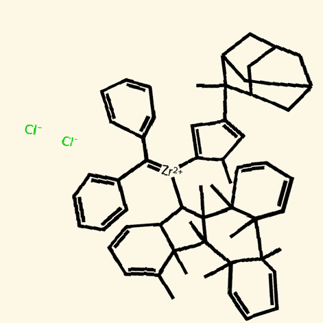 CC1=CC=CC2[CH]([Zr+2]([C]3=CC(C4(C)C5CC6CC(C5)CC4C6)=CC3C)=[C](c3ccccc3)c3ccccc3)C3(C)C4(C)C=CC=CC4(C)C4(C)C=CC=CC4(C)C3(C)C12C.[Cl-].[Cl-]